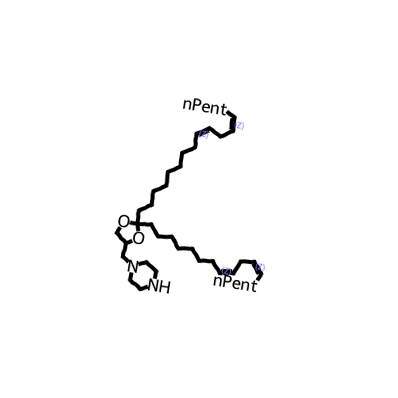 CCCCC/C=C\C/C=C\CCCCCCCCC1(CCCCCCC/C=C\C/C=C\CCCCC)OCC(CN2CCNCC2)O1